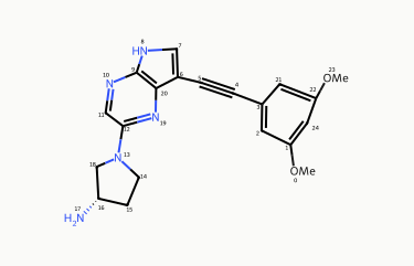 COc1cc(C#Cc2c[nH]c3ncc(N4CC[C@H](N)C4)nc23)cc(OC)c1